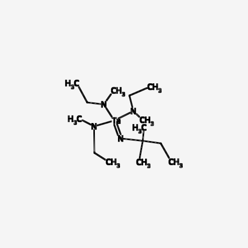 CC[N](C)[Ta](=[N]C(C)(C)CC)([N](C)CC)[N](C)CC